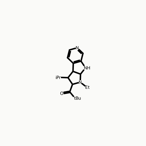 CCN1C2Nc3cnccc3C2C(C(C)C)C1C(=O)C(C)(C)C